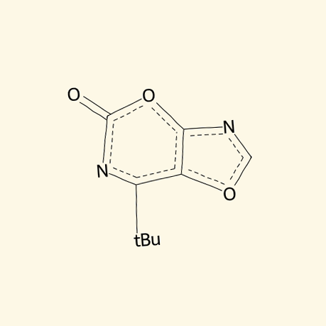 CC(C)(C)c1nc(=O)oc2ncoc12